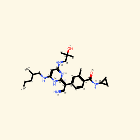 CCCC(CCC(C)C)CNC1=CC(NCC(C)(C)O)=N/C(=C(/C=N)c2ccc(C(=O)NC3CC3)c(C)c2)N1